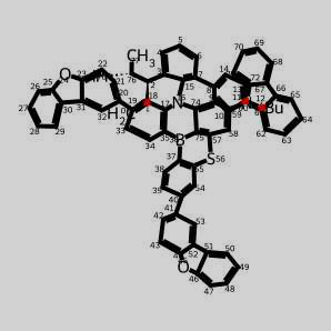 C=C[C@H](c1cccc(-c2ccc(C(C)(C)C)cc2)c1N1c2cc(-c3ccc4oc5ccccc5c4c3)ccc2B2c3ccc(-c4ccc5oc6ccccc6c5c4)cc3Sc3cc(-n4c5ccccc5c5ccccc54)cc1c32)[C@@H](C)C(C)C